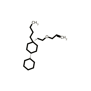 C=CCOCC[C@]1(CCCC)CC[C@H](C2CCCCC2)CC1